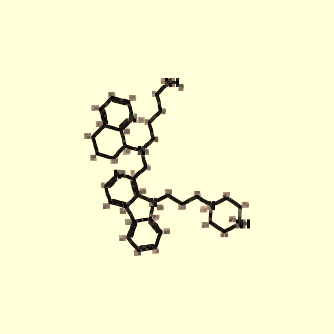 NCCCCN(Cc1nccc2c3ccccc3n(CCCN3CCNCC3)c12)C1CCCc2cccnc21